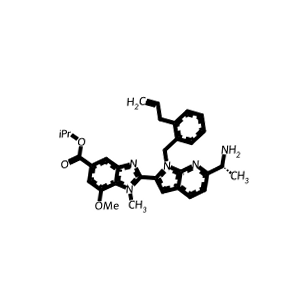 C=CCc1ccccc1Cn1c(-c2nc3cc(C(=O)OC(C)C)cc(OC)c3n2C)cc2ccc([C@@H](C)N)nc21